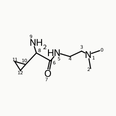 CN(C)CCNC(=O)C(N)C1CC1